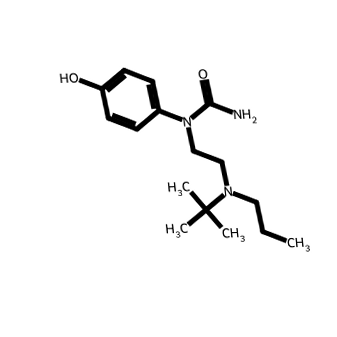 CCCN(CCN(C(N)=O)c1ccc(O)cc1)C(C)(C)C